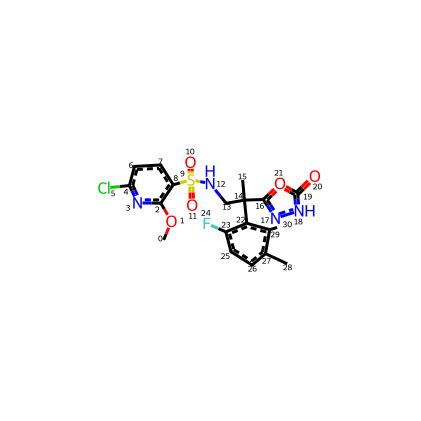 COc1nc(Cl)ccc1S(=O)(=O)NCC(C)(c1n[nH]c(=O)o1)c1c(F)ccc(C)c1C